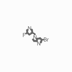 Fc1cncc(Cn2ccc3ncc(Br)cc32)c1